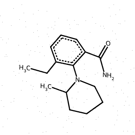 CCc1cccc(C(N)=O)c1N1CCCCC1C